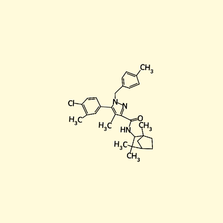 Cc1ccc(Cn2nc(C(=O)NC3C4(C)CCC(C4)C3(C)C)c(C)c2-c2ccc(Cl)c(C)c2)cc1